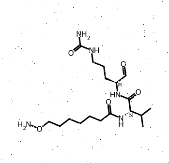 CC(C)[C@H](NC(=O)CCCCCCON)C(=O)N[C@H](C=O)CCCNC(N)=O